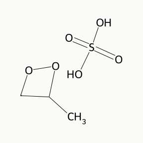 CC1COO1.O=S(=O)(O)O